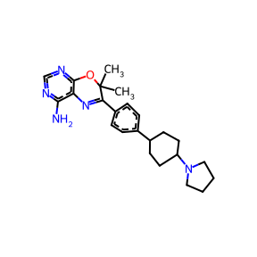 CC1(C)Oc2ncnc(N)c2N=C1c1ccc(C2CCC(N3CCCC3)CC2)cc1